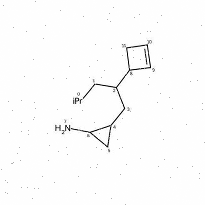 CC(C)CC(CC1CC1N)C1C=CC1